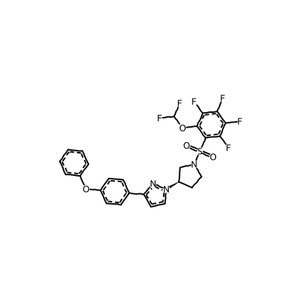 O=S(=O)(c1c(F)c(F)c(F)c(F)c1OC(F)F)N1CC[C@@H](n2ccc(-c3ccc(Oc4ccccc4)cc3)n2)C1